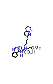 CCC(Nc1ncnc2ccccc12)(C(=O)O)N(CCCCc1ccc2c(n1)NCCC2)CCOC